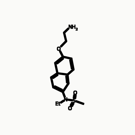 CCN(c1ccc2cc(OCCN)ccc2c1)S(C)(=O)=O